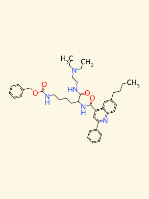 CCCCc1ccc2nc(-c3ccccc3)cc(C(=O)NC(CCCCNC(=O)OCc3ccccc3)C(=O)NCCN(CC)CC)c2c1